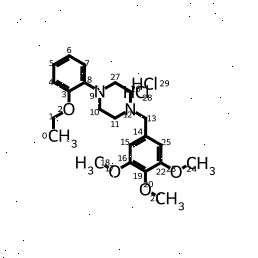 CCOc1ccccc1N1CCN(Cc2cc(OC)c(OC)c(OC)c2)CC1.Cl.Cl